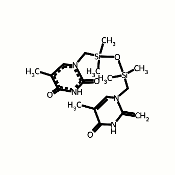 C=C1NC(=O)C(C)=CN1C[Si](C)(C)O[Si](C)(C)Cn1cc(C)c(=O)[nH]c1=O